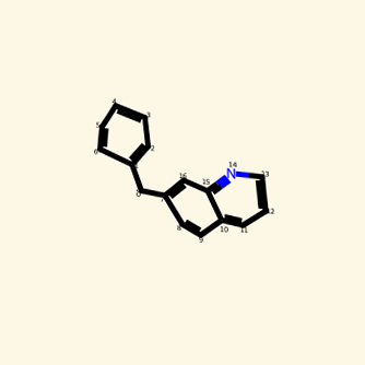 [CH](c1ccccc1)c1ccc2cccnc2c1